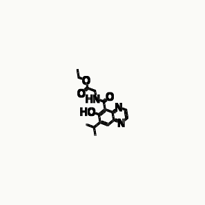 CCOC(=O)CNC(=O)c1c(O)c(C(C)C)cc2nccnc12